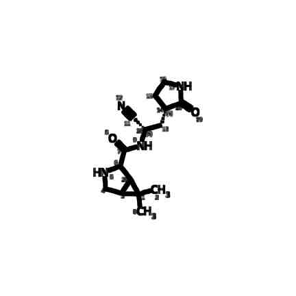 CC1(C)C2CNC(C(=O)N[C@H](C#N)C[C@@H]3CCNC3=O)C21